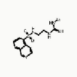 CCNC(=N)NCCNS(=O)(=O)c1cccc2cnccc12